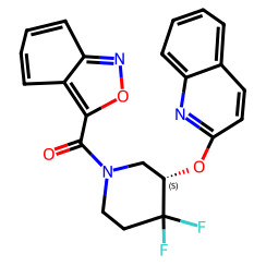 O=C(c1onc2ccccc12)N1CCC(F)(F)[C@@H](Oc2ccc3ccccc3n2)C1